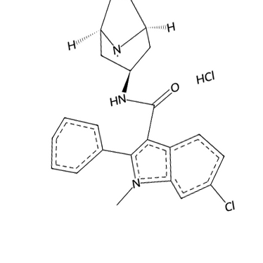 CN1[C@@H]2CC[C@H]1C[C@@H](NC(=O)c1c(-c3ccccc3)n(C)c3cc(Cl)ccc13)C2.Cl